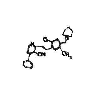 Cc1cc(/C=C/c2nccc(-c3ccccc3)c2C#N)c(Cl)cc1CN1CCCCC1